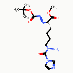 COC(=O)[C@H](CCCCN(N)C(=O)n1ccnc1)N=NC(=O)OC(C)(C)C